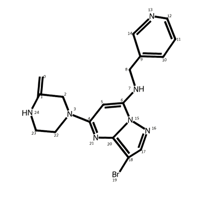 C=C1CN(c2cc(NCc3cccnc3)n3ncc(Br)c3n2)CCN1